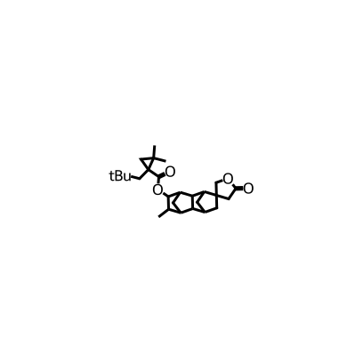 CC1C2CC(C1OC(=O)C1(CC(C)(C)C)CC1(C)C)C1C2C2CC1C1(COC(=O)C1)C2